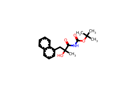 CC(C)(C)OC(=O)NC(=O)C(C)(O)Cc1cccc2ccccc12